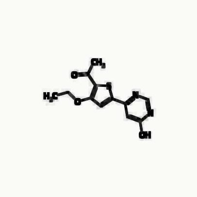 CCOc1cc(-c2cc(O)ncn2)sc1C(C)=O